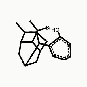 CC(Br)C1C2CC3CC1C(C)C(C2)C3c1ccccc1O